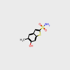 Cc1cc2cc(S(N)(=O)=O)sc2cc1O